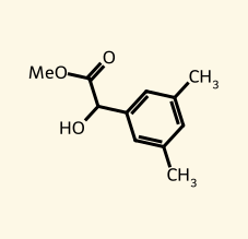 COC(=O)C(O)c1cc(C)cc(C)c1